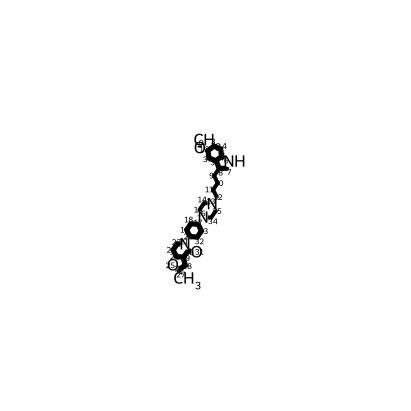 COc1ccc2[nH]cc(CCCCN3CCN(c4ccc(-n5ccc6oc(C)cc6c5=O)cc4)CC3)c2c1